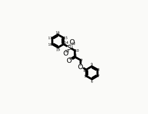 O=C(COc1ccccc1)CS(=O)(=O)c1ccccc1